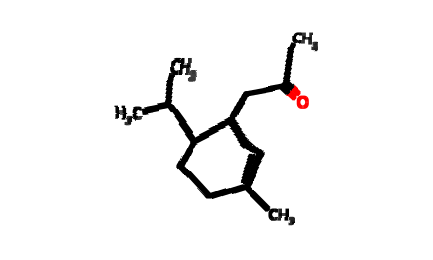 CC(=O)CC1C=C(C)CCC1C(C)C